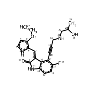 COc1cc[nH]c1/C=C1\C(=O)Nc2ccc(F)c(C#CCNCC(C)O)c21.Cl